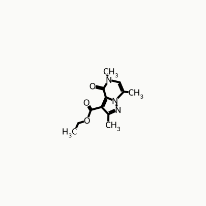 CCOC(=O)c1c(C)nn2c(C)cn(C)c(=O)c12